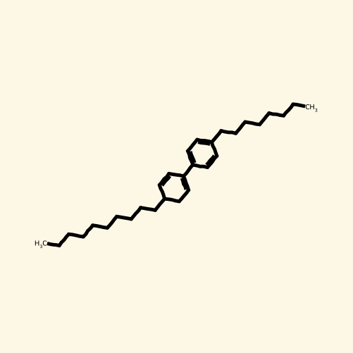 CCCCCCCCCCC1C=CC(c2ccc(CCCCCCCC)cc2)=CC1